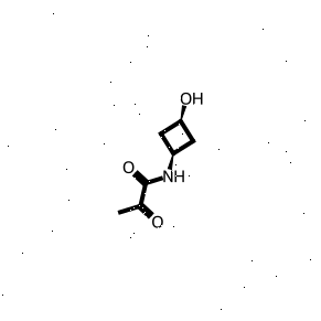 CC(=O)C(=O)N[C@H]1C[C@@H](O)C1